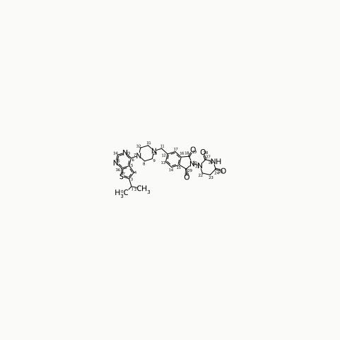 CC(C)c1cc2c(N3CCN(Cc4ccc5c(c4)C(=O)N(N4CCC(=O)NC4=O)C5=O)CC3)ncnc2s1